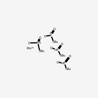 CCCC[PH](=O)[O-].CCCC[PH](=O)[O-].CCCC[PH](=O)[O-].CCCC[PH](=O)[O-].[Mo+4]